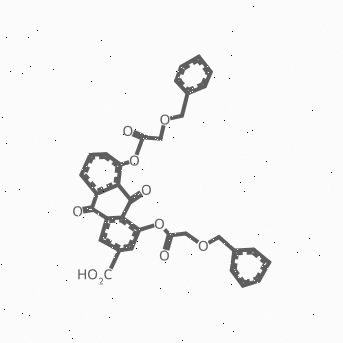 O=C(COCc1ccccc1)Oc1cccc2c1C(=O)c1c(OC(=O)COCc3ccccc3)cc(C(=O)O)cc1C2=O